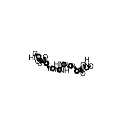 O=C1CCC(N2Cc3c(CN4CCC(N5CCNC(C6CN(C7CCN(Cc8ccc9c(c8)C(=O)N(C8CCC(=O)NC8=O)C9=O)CC7)CCN6)C5)CC4)cccc3C2=O)C(=O)N1